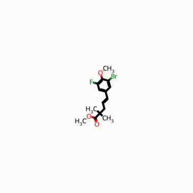 COC(=O)C(C)(C)CC=Cc1cc(F)c(OC)c(Br)c1